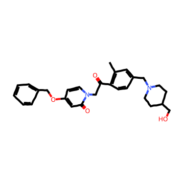 Cc1cc(CN2CCC(CO)CC2)ccc1C(=O)Cn1ccc(OCc2ccccc2)cc1=O